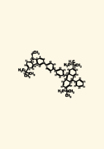 CCn1c2ccc(-c3ccc(-c4ccc(-c5c6ccc(C(C)(C)C)cc6c(-c6ccccc6)c6ccc(C(C)(C)C)cc56)cc4)cc3)cc2c2cc(C(C)(C)C)ccc21